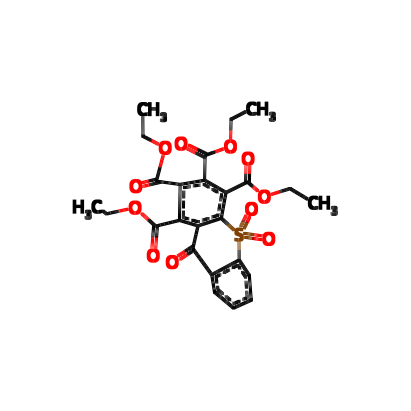 CCOC(=O)c1c(C(=O)OCC)c(C(=O)OCC)c2c(c1C(=O)OCC)C(=O)c1ccccc1S2(=O)=O